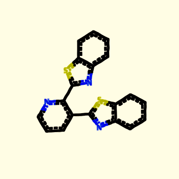 c1cnc(-c2nc3ccccc3s2)c(-c2nc3ccccc3s2)c1